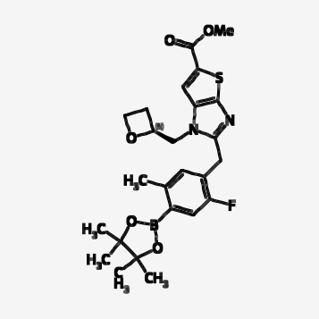 COC(=O)c1cc2c(nc(Cc3cc(C)c(B4OC(C)(C)C(C)(C)O4)cc3F)n2C[C@@H]2CCO2)s1